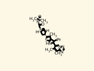 Cc1c(-c2[nH]c3sc([C@@H]4C[C@@H]5C[C@H]4CN5CC(=O)N=S(C)(C)=O)c(C)c3c2C(C)C)cn2ncnc2c1C